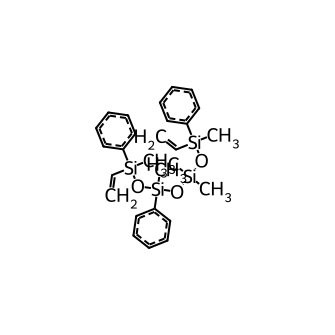 C=C[Si](C)(O[Si](C)(C)O[Si](C)(O[Si](C)(C=C)c1ccccc1)c1ccccc1)c1ccccc1